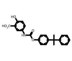 CC(C)(c1ccccc1)c1ccc(OC(=O)Nc2ccc(O)c(C(=O)O)c2)cc1